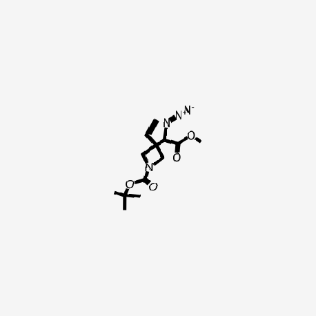 C=CC1(C(N=[N+]=[N-])C(=O)OC)CN(C(=O)OC(C)(C)C)C1